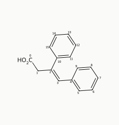 O=C(O)CC(=Cc1ccccc1)c1ccccc1